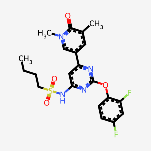 CCCCS(=O)(=O)Nc1cc(-c2cc(C)c(=O)n(C)c2)nc(Oc2ccc(F)cc2F)n1